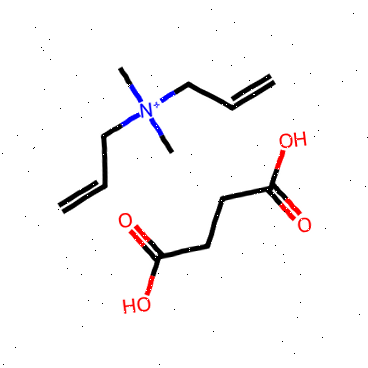 C=CC[N+](C)(C)CC=C.O=C(O)CCC(=O)O